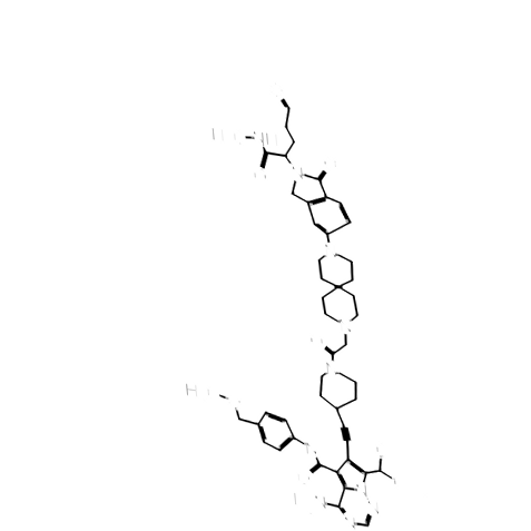 CNC(=O)C(CCC=O)N1Cc2cc(N3CCC4(CCN(CC(=O)N5CCC(C#Cc6c(C(=O)Nc7ccc(COC)cc7)c7c(N)ncnn7c6C(C)C)CC5)CC4)CC3)ccc2C1=O